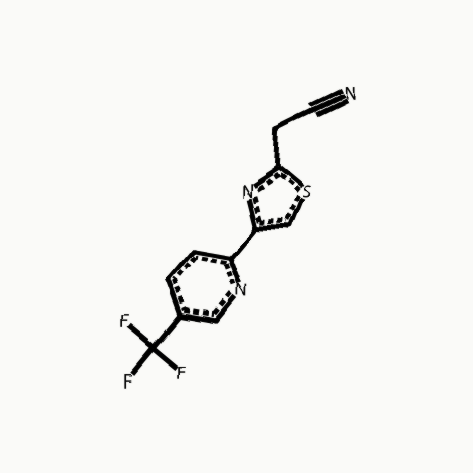 N#CCc1nc(-c2ccc(C(F)(F)F)cn2)cs1